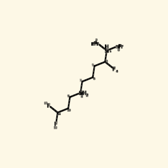 CCC[SiH](CCC)C(F)CCC[SiH2]CCC(F)F